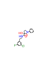 O=C(NCCc1cc(F)cc(Cl)c1)[C@@]1(O)CCN(c2ccccc2)C1=O